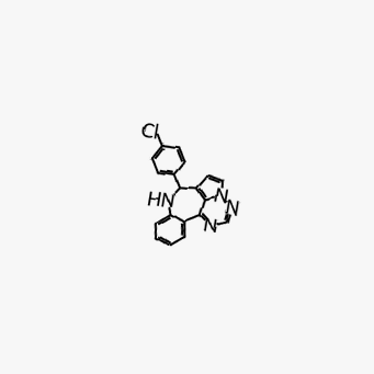 Clc1ccc(C2Nc3ccccc3-c3ncnn4ccc2c34)cc1